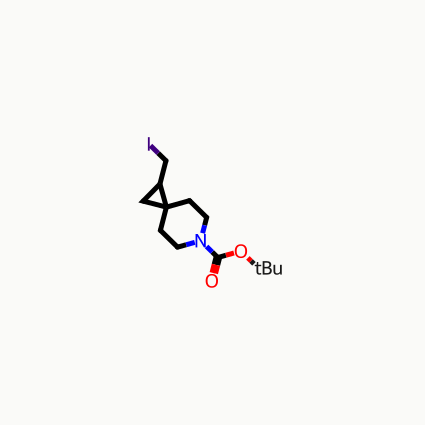 CC(C)(C)OC(=O)N1CCC2(CC1)CC2CI